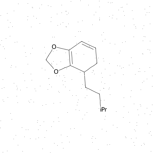 CC(C)CCC1CC=CC2=C1OCO2